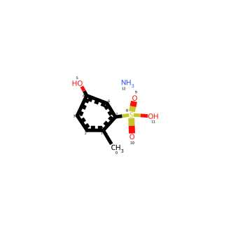 Cc1ccc(O)cc1S(=O)(=O)O.N